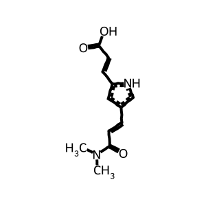 CN(C)C(=O)/C=C/c1c[nH]c(C=CC(=O)O)c1